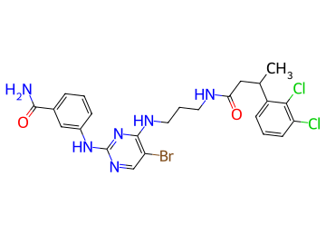 CC(CC(=O)NCCCNc1nc(Nc2cccc(C(N)=O)c2)ncc1Br)c1cccc(Cl)c1Cl